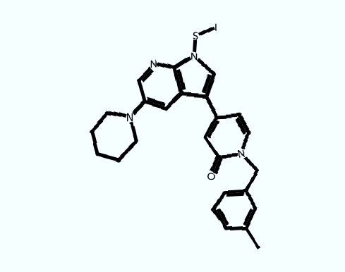 Cc1cccc(Cn2ccc(-c3cn(SI)c4ncc(N5CCCCC5)cc34)cc2=O)c1